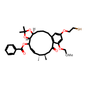 COCOc1cc(OCCS)cc2c1C(=O)C[C@@H](C)[C@H](C)/C=C\C(OC(=O)c1ccccc1)[C@H]1OC(C)(C)O[C@H]1CCC2